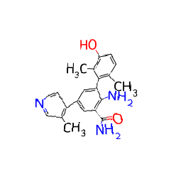 Cc1cnccc1-c1cc(C(N)=O)c(N)c(-c2c(C)ccc(O)c2C)c1